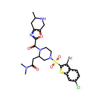 CC(=O)c1c(S(=O)(=O)N2CCN(C(=O)c3nc4c(o3)CNC(C)C4)C(CC(=O)N(C)C)C2)sc2cc(Cl)ccc12